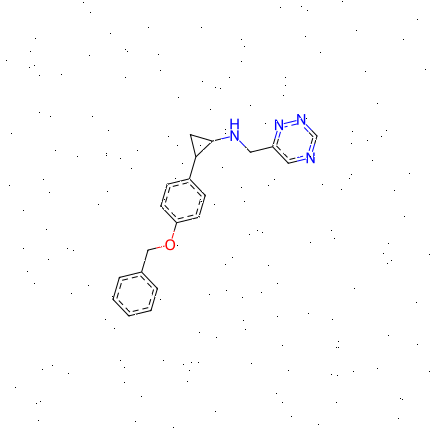 c1ccc(COc2ccc(C3CC3NCc3cncnn3)cc2)cc1